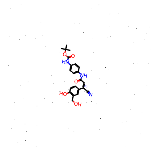 CC(C)(C)OC(=O)Nc1ccc(NC(=O)/C=C(/C#N)c2ccc(O)c(CO)c2)cc1